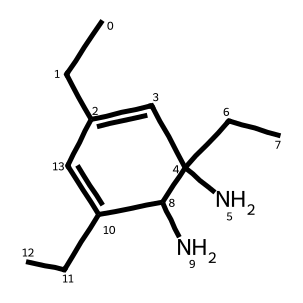 CCC1=CC(N)(CC)C(N)C(CC)=C1